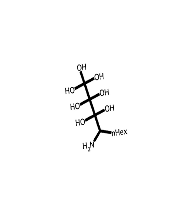 CCCCCCC(N)C(O)(O)C(O)(O)C(O)(O)O